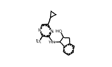 CCc1ncc(C2CC2)nc1NC1c2ccccc2CC1O